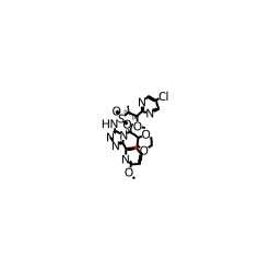 COc1cccc(-c2nnc(NS(=O)(=O)[C@@H](C)[C@H](OC)c3ncc(Cl)cn3)n2[C@@H](C)C2COCCO2)n1